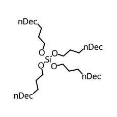 CCCCCCCCCCCCCO[Si](OCCCCCCCCCCCCC)(OCCCCCCCCCCCCC)OCCCCCCCCCCCCC